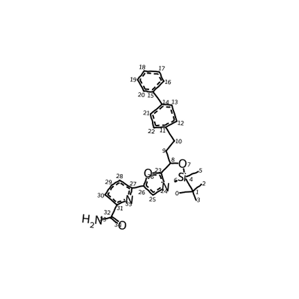 CC(C)(C)[Si](C)(C)OC(CCc1ccc(-c2ccccc2)cc1)c1ncc(-c2cccc(C(N)=O)n2)o1